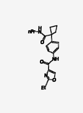 CCCNC(=O)C1(c2ccc(NC(=O)c3coc(CC)n3)cc2)CCC1